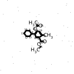 CCOC(=O)c1cc(C2CCCCC2)c(OC(C)=O)cc1C